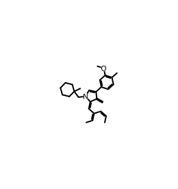 C=c1c(-c2ccc(C)c(OC)c2)cn(CC2(C)CCCCC2)/c1=C/C(/C=C\C)=C\C